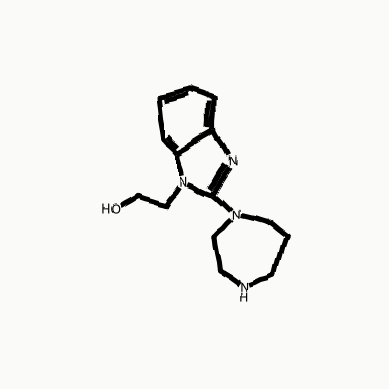 OCCn1c(N2CCCNCC2)nc2ccccc21